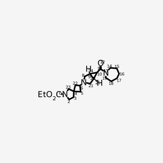 CCOC(=O)N1CCC2(CC(N3C[C@@H]4C(C(=O)N5CCCCCC5)[C@@H]4C3)C2)C1